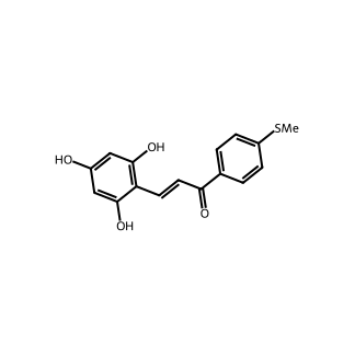 CSc1ccc(C(=O)C=Cc2c(O)cc(O)cc2O)cc1